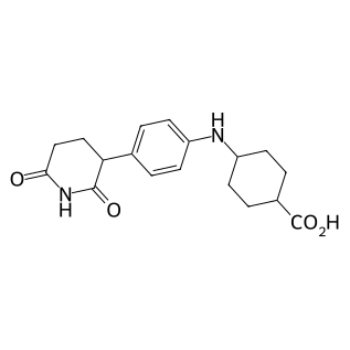 O=C1CCC(c2ccc(NC3CCC(C(=O)O)CC3)cc2)C(=O)N1